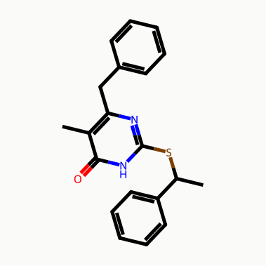 Cc1c(Cc2ccccc2)nc(SC(C)c2ccccc2)[nH]c1=O